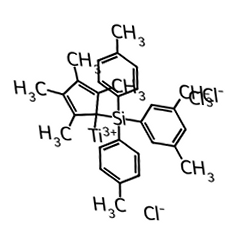 CC1=C(C)[C]([Ti+3])([Si](c2ccc(C)cc2)(c2ccc(C)cc2)c2cc(C)cc(C)c2)C(C)=C1C.[Cl-].[Cl-].[Cl-]